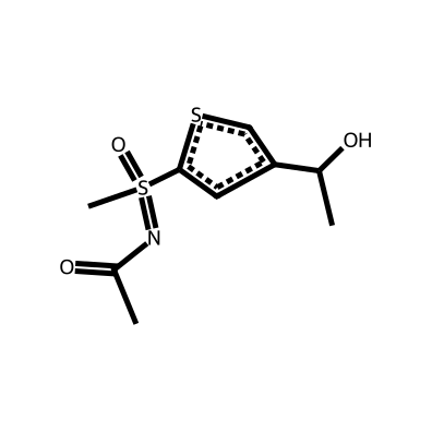 CC(=O)N=S(C)(=O)c1cc(C(C)O)cs1